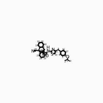 CC(C)Oc1ccc(Cc2csc(NC(=O)C3(C)CC4(C#N)c5ccccc5C3c3ccccc34)n2)cc1